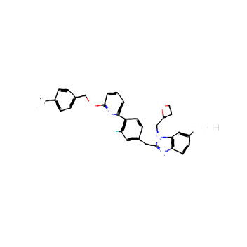 O=C(O)c1ccc2nc(Cc3ccc(-c4cccc(OCc5ccc([N+](=O)[O-])cc5)n4)c(F)c3)n(CC3CCO3)c2c1